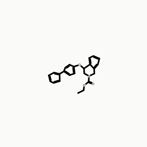 CCOC(=O)N1Cc2ccccc2C(Oc2ccc(-c3ccccc3)cc2)C1